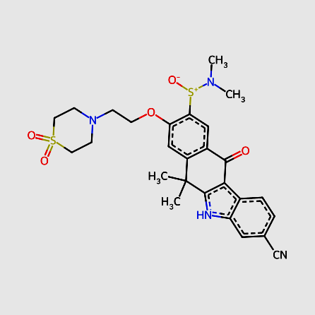 CN(C)[S+]([O-])c1cc2c(cc1OCCN1CCS(=O)(=O)CC1)C(C)(C)c1[nH]c3cc(C#N)ccc3c1C2=O